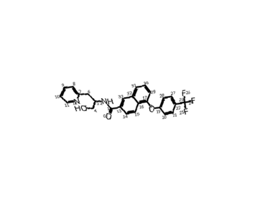 O=C(NC(CO)Cc1ccccn1)c1ccc2c(Oc3ccc(C(F)(F)F)cc3)cccc2c1